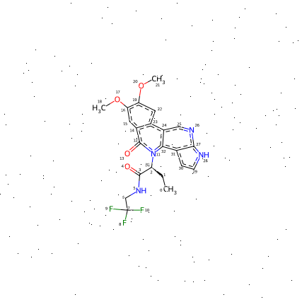 CC[C@@H](C(=O)NCC(F)(F)F)n1c(=O)c2cc(OC)c(OC)cc2c2cnc3[nH]ccc3c21